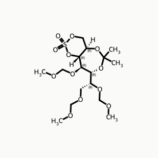 COCOC[C@@H](OCOC)[C@H]1OC(C)(C)O[C@@H]2COS(=O)(=O)O[C@H]2[C@@H]1OCOC